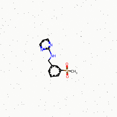 CS(=O)(=O)c1cccc(CNc2nc[c]cn2)c1